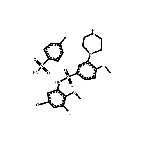 COc1ccc(S(=O)(=O)Nc2cc(Cl)cc(Cl)c2OC)cc1N1CCNCC1.Cc1ccc(S(=O)(=O)O)cc1